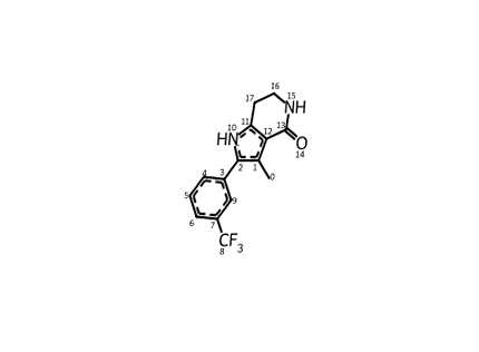 Cc1c(-c2cccc(C(F)(F)F)c2)[nH]c2c1C(=O)NCC2